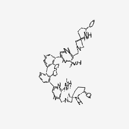 CNc1nc(-c2cccc(-c3cccc(-c4cnc(CN5CC6(CCC(=O)N6)C5)c(NC)n4)c3Cl)c2Cl)cnc1CN1CC2(CCC(=O)N2)C1